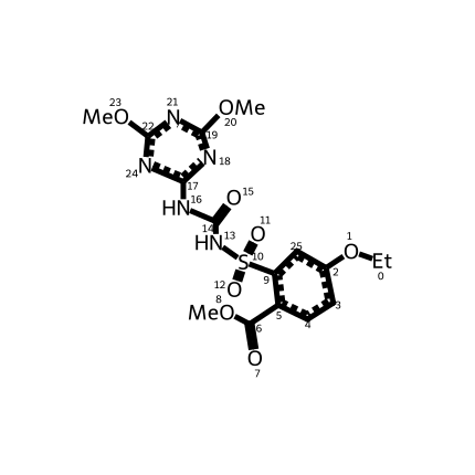 CCOc1ccc(C(=O)OC)c(S(=O)(=O)NC(=O)Nc2nc(OC)nc(OC)n2)c1